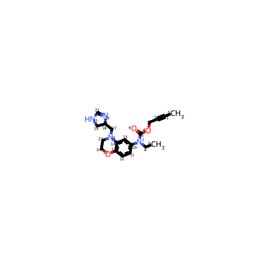 CC#CCOC(=O)N(CC)c1ccc2c(c1)N(CC1CNC=N1)CCO2